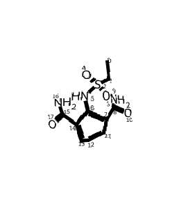 CCS(=O)(=O)Nc1c(C(N)=O)cccc1C(N)=O